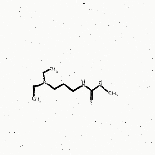 CCN(CC)CCCNC(=S)NC